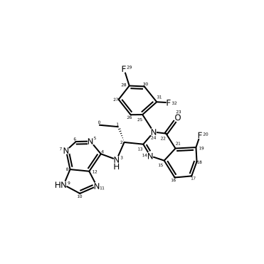 CC[C@@H](Nc1ncnc2[nH]cnc12)c1nc2cccc(F)c2c(=O)n1-c1ccc(F)cc1F